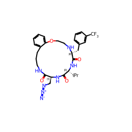 CC(C)[C@H]1NC(=O)[C@@H](Cc2cccc(C(F)(F)F)c2)NCCOc2ccccc2CCCNC(=O)[C@H](CN=[N+]=[N-])NC1=O